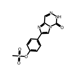 CS(=O)(=O)Oc1ccc(-c2cn3c(=O)[nH]ncc3n2)cc1